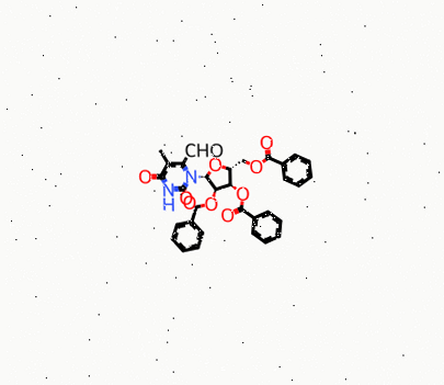 Cc1c(C=O)n([C@@H]2O[C@H](COC(=O)c3ccccc3)[C@@H](OC(=O)c3ccccc3)[C@H]2OC(=O)c2ccccc2)c(=O)[nH]c1=O